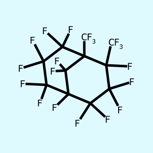 FC(F)(F)C1(F)C(F)(F)C(F)(F)C2(F)C(F)(F)C(F)(F)C(F)(F)C1(C(F)(F)F)C2(F)F